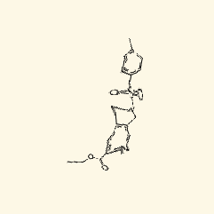 CCOC(=O)c1cc2c(cn1)CN(S(=O)(=O)c1ccc(C)cc1)C2